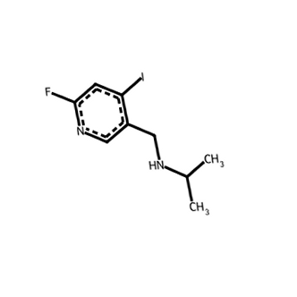 CC(C)NCc1cnc(F)cc1I